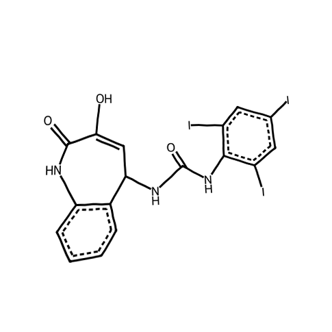 O=C(Nc1c(I)cc(I)cc1I)NC1C=C(O)C(=O)Nc2ccccc21